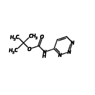 CC(C)(C)OC(=O)Nc1ccnnn1